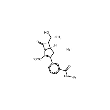 CC(C)NC(=O)c1cccc(C2=C(C(=O)[O-])N3C(=O)[C@H]([C@@H](C)O)[C@H]3C2)c1.[Na+]